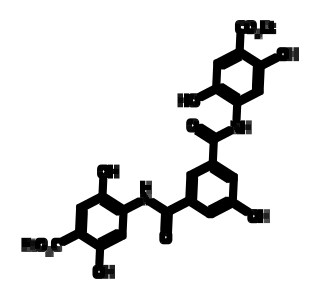 CCOC(=O)c1cc(O)c(NC(=O)c2cc(O)cc(C(=O)Nc3cc(O)c(C(=O)OCC)cc3O)c2)cc1O